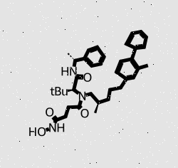 Cc1cc(CCC[C@@H](C)CN(C(=O)CCC(=O)NO)[C@H](C(=O)N[C@H](C)c2ccccc2)C(C)(C)C)ccc1-c1ccccc1